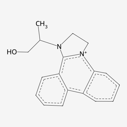 CC(CO)N1CC[n+]2c1c1ccccc1c1ccccc12